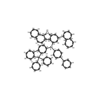 c1ccc(-c2ccc(N(c3ccc4c(c3)C(c3ccccc3)(c3ccccc3)c3ccccc3-4)c3cc(-c4cccc5ccccc45)cc4oc5c6ccccc6ccc5c34)cc2)cc1